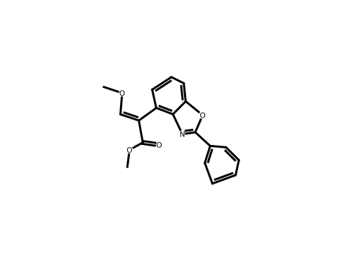 CO/C=C(/C(=O)OC)c1cccc2oc(-c3ccccc3)nc12